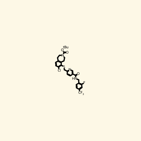 CC(C)(C)OC(=O)N1CCc2ccc(Cl)c(SCc3ccc(C(=O)NCc4ccc(C(F)(F)F)cc4F)cn3)c2CC1